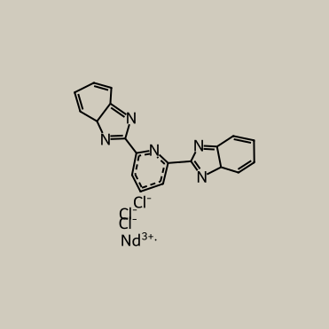 C1=CC2=NC(c3cccc(C4=NC5C=CC=CC5=N4)n3)=NC2C=C1.[Cl-].[Cl-].[Cl-].[Nd+3]